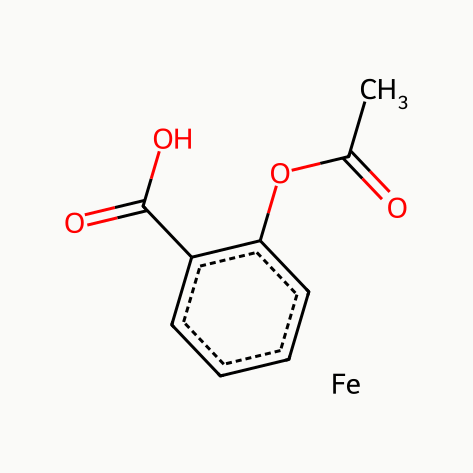 CC(=O)Oc1ccccc1C(=O)O.[Fe]